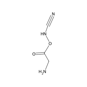 N#CNOC(=O)CN